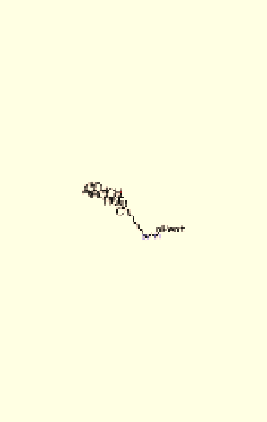 CCCCC/C=C\C/C=C\CCCCCCCC(=O)O[C@H]1CC[C@]2(C)[C@H]3CC=C4[C@@H]5[C@@H](C)[C@H](C)CC[C@]5(C)CC[C@@]4(C)[C@]3(C)CC[C@H]2C1(C)C